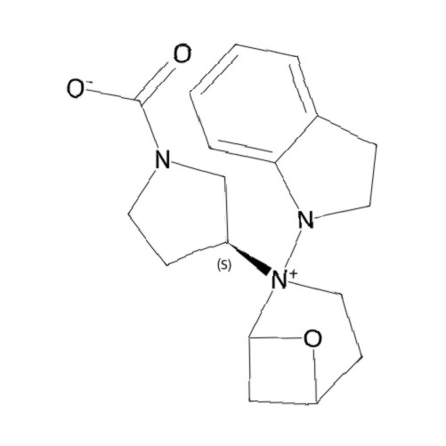 O=C([O-])N1CC[C@H]([N+]2(N3CCc4ccccc43)CCC3CC2O3)C1